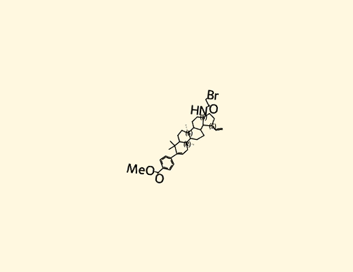 C=C[C@@H]1CC[C@]2(NC(=O)CBr)CCC3C(CCC4[C@@]3(C)CCC3C(C)(C)C(c5ccc(C(=O)OC)cc5)=CC[C@@]34C)C12